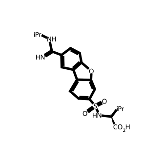 CC(C)NC(=N)c1ccc2oc3cc(S(=O)(=O)N[C@H](C(=O)O)C(C)C)ccc3c2c1